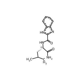 CC(C)C[C@H](NC(=O)c1nc2ccccc2[nH]1)C(N)=O